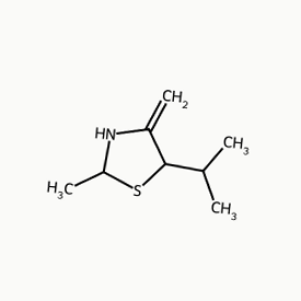 C=C1NC(C)SC1C(C)C